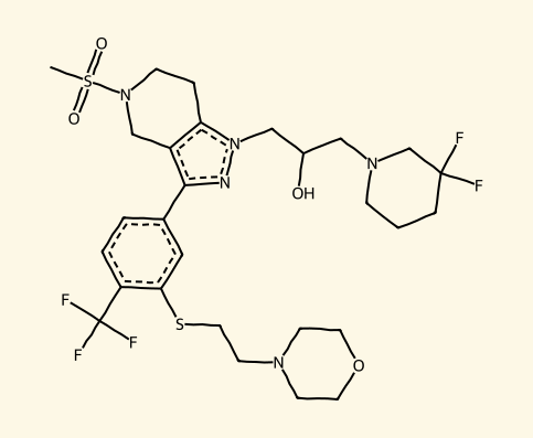 CS(=O)(=O)N1CCc2c(c(-c3ccc(C(F)(F)F)c(SCCN4CCOCC4)c3)nn2CC(O)CN2CCCC(F)(F)C2)C1